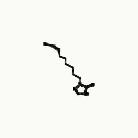 [N-]=[N+]=NCCCCCCn1nc[nH]c1=O